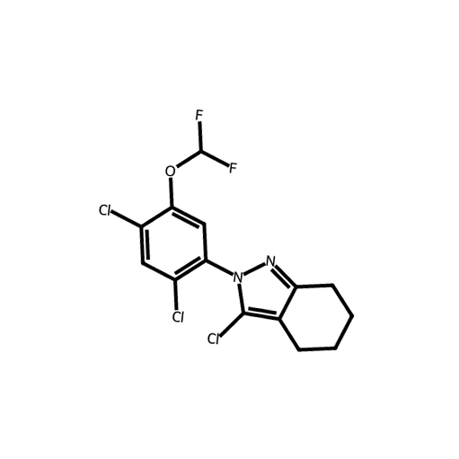 FC(F)Oc1cc(-n2nc3c(c2Cl)CCCC3)c(Cl)cc1Cl